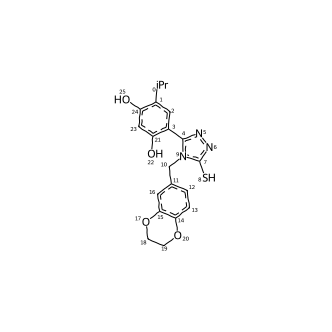 CC(C)c1cc(-c2nnc(S)n2Cc2ccc3c(c2)OCCO3)c(O)cc1O